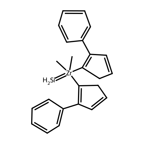 [CH3][Zr]([CH3])(=[SiH2])([C]1=C(c2ccccc2)C=CC1)[C]1=C(c2ccccc2)C=CC1